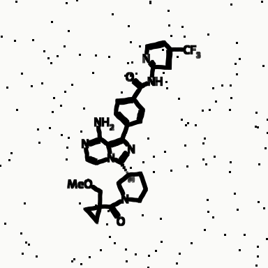 COCC1(C(=O)N2CCC[C@@H](c3nc(-c4ccc(C(=O)Nc5cc(C(F)(F)F)ccn5)cc4)c4c(N)nccn34)C2)CC1